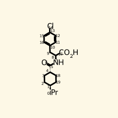 CC(C)[C@H]1CC[C@H](C(=O)NC(Cc2ccc(Cl)cc2)C(=O)O)CC1